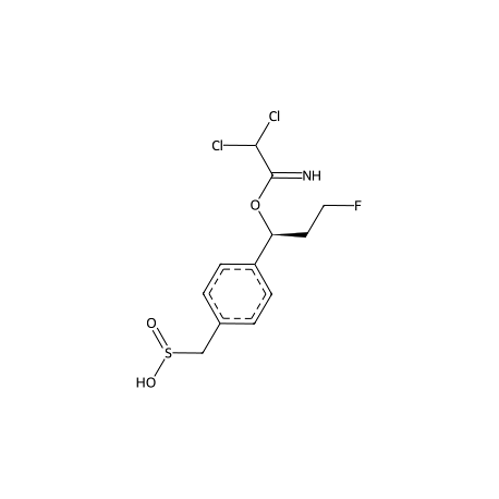 N=C(O[C@@H](CCF)c1ccc(CS(=O)O)cc1)C(Cl)Cl